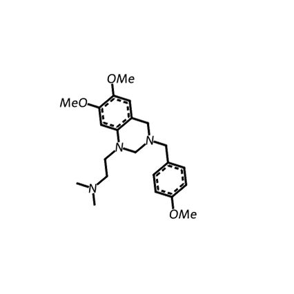 COc1ccc(CN2Cc3cc(OC)c(OC)cc3N(CCN(C)C)C2)cc1